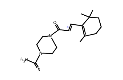 CC1=C(/C=C/C(=O)N2CCN(C(N)=S)CC2)C(C)(C)CCC1